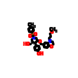 COCCCN1CCOc2ccc(CO[C@H]3CN(S(=O)(=O)c4ccc(C)cc4)C[C@@H](CO)[C@@H]3c3ccc(O)cc3)cc21